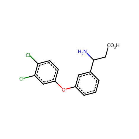 NC(CC(=O)O)c1cccc(Oc2ccc(Cl)c(Cl)c2)c1